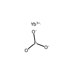 [O-]P([O-])[O-].[Yb+3]